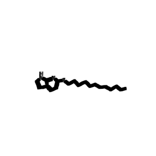 CCCCCCCCCCCCSc1ccc2cc[nH]c2n1